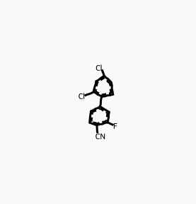 N#Cc1ccc(-c2ccc(Cl)cc2Cl)cc1F